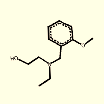 CCN(CCO)Cc1ccccc1OC